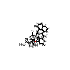 Cc1cc(N2C[C@@H]3[C@H]2CCN3C(=O)O)c2cnc(-c3cccc4ccc(F)c(C#C[Si](C(C)C)(C(C)C)C(C)C)c34)c(F)c2n1